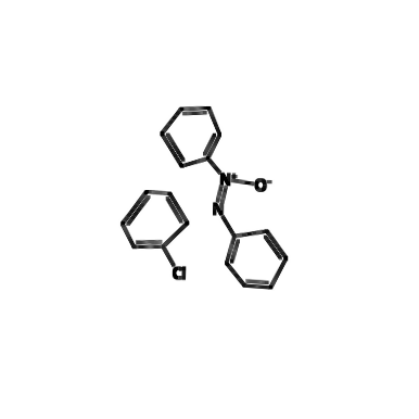 Clc1ccccc1.[O-][N+](=Nc1ccccc1)c1ccccc1